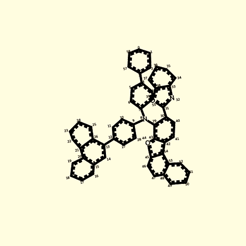 c1ccc(-c2ccc(N(c3ccc(-c4cc5ccccc5c5ccccc45)cc3)c3c(-c4nc5ccccc5o4)ccc4c3oc3ccc5ccccc5c34)cc2)cc1